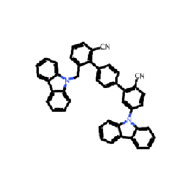 N#Cc1ccc(-n2c3ccccc3c3ccccc32)cc1-c1ccc(-c2c(C#N)cccc2Cn2c3ccccc3c3ccccc32)cc1